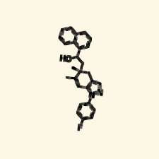 CC1=Cc2c(cnn2-c2ccc(F)cc2)C[C@@]1(C)CC(O)c1cccc2ccccc12